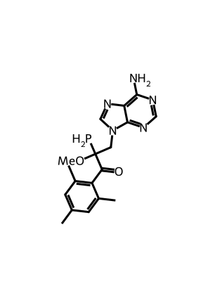 COC(P)(Cn1cnc2c(N)ncnc21)C(=O)c1c(C)cc(C)cc1C